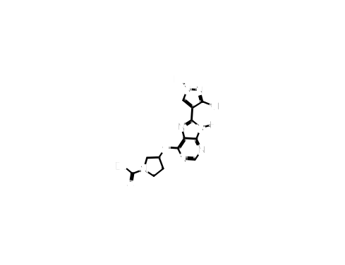 CCC(=O)N1CCC(Oc2ncnc3c2nc(-c2cn(CC)nc2C)n3CC)C1